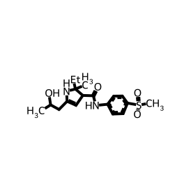 CCC1(C)NC(CC(C)O)=CC1C(=O)Nc1ccc(S(C)(=O)=O)cc1